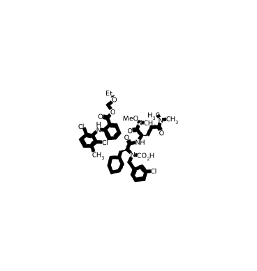 CCOCOC(=O)c1ccccc1Nc1c(Cl)ccc(C)c1Cl.CON(C)C(=O)[C@H](CCC(=O)N(C)C)NC(=O)[C@H](CC1CCCCC1)N(Cc1cccc(Cl)c1)C(=O)O